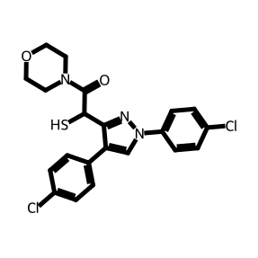 O=C(C(S)c1nn(-c2ccc(Cl)cc2)cc1-c1ccc(Cl)cc1)N1CCOCC1